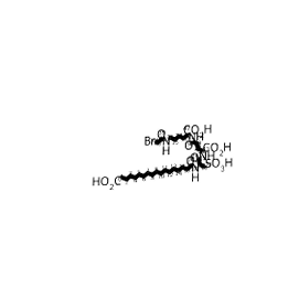 O=C(O)CCCCCCCCCCCCCCCCC(=O)NC(CS(=O)(=O)O)C(=O)NC(CCC(=O)NC(CCCCNC(=O)CBr)C(=O)O)C(=O)O